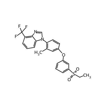 CCS(=O)(=O)c1cccc(Oc2ccc(-n3cnc4c(C(F)(F)F)cccc43)c(C)c2)c1